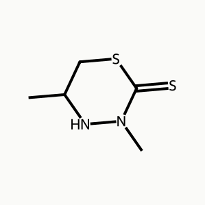 CC1CSC(=S)N(C)N1